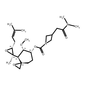 CO[C@@H]1[C@H](OC(=O)N2CC(CC(=O)N(C)C)C2)CC[C@]2(CO2)[C@H]1[C@@]1(C)O[C@@H]1CC=C(C)C